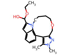 CCOC(O)c1cc2cccc3c2n1CCCCOCc1nn(C)c(C)c1-3